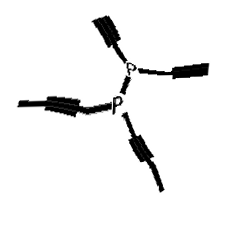 C#CP(C#C)P(C#CC)C#CC